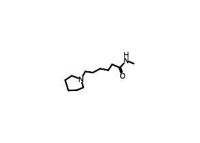 CNC(=O)CCCCCN1CCCCC1